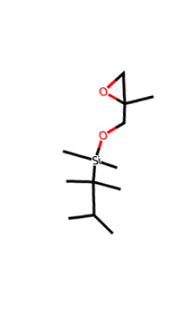 CC(C)C(C)(C)[Si](C)(C)OCC1(C)CO1